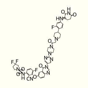 N#Cc1c(NS(=O)(=O)N2CCC(F)(F)C2)ccc(F)c1Oc1ccc2ncn(-c3cnc(N4CCN(C(=O)CN5CCC(c6ccc(N[C@@H]7CCC(=O)NC7=O)cc6F)CC5)CC4)nc3)c(=O)c2c1